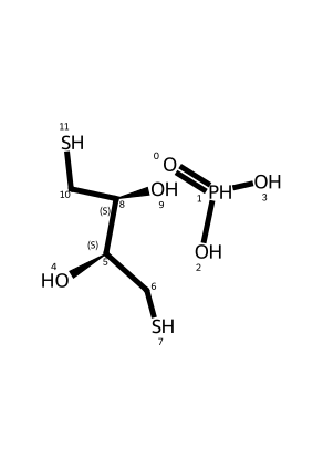 O=[PH](O)O.O[C@H](CS)[C@H](O)CS